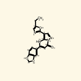 CCc1cnc(-c2cnn3c(=O)cc(-c4ccc5c(c4)OCO5)[nH]c23)o1